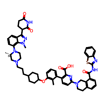 Cc1c(OC2CCC(CCCN3CCN(c4cccc5c(C6CCC(=O)NC6=O)nn(C)c45)[C@@H](C)C3)CC2)cccc1-c1ccc(N2CCc3cccc(C(=O)Nc4nc5ccccc5s4)c3C2)nc1C(=O)O